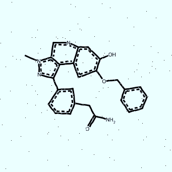 Cn1nc(-c2cccc(CC(N)=O)c2)c2c3cc(OCc4ccccc4)c(O)cc3ncc21